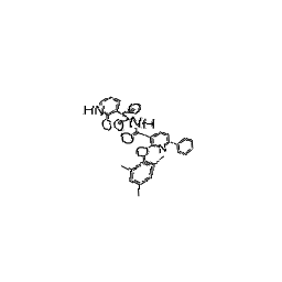 Cc1cc(C)c(Oc2nc(-c3ccccc3)ccc2C(=O)NS(=O)(=O)c2ccc[nH]c2=O)c(C)c1